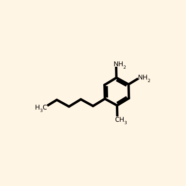 CCCCCc1cc(N)c(N)cc1C